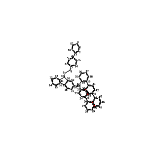 c1ccc(-c2ccc(CCC3c4ccccc4-c4ccc(N(c5ccc(-c6ccccc6)cc5)c5ccccc5-c5ccc(-c6ccccc6)cc5)cc43)cc2)cc1